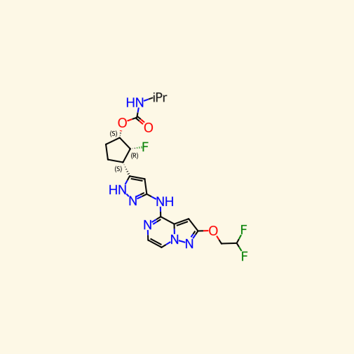 CC(C)NC(=O)O[C@H]1CC[C@@H](c2cc(Nc3nccn4nc(OCC(F)F)cc34)n[nH]2)[C@H]1F